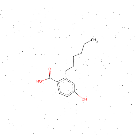 CCCCCCc1cc(O)ccc1C(=O)O